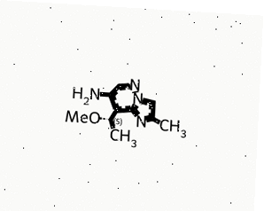 CO[C@@H](C)c1c(N)cnn2cc(C)nc12